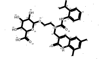 Cc1cc(C)c2[nH]c(=O)c(CN(CCOC3OC(C(=O)O)C(O)C(O)C3O)C(=O)Nc3ccccc3C(C)C)cc2c1